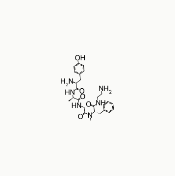 C[C@@H](NC(=O)[C@@H](N)Cc1ccc(O)cc1)C(=O)NCC(=O)N(C)[C@@H](Cc1ccccc1)C(=O)NCCN